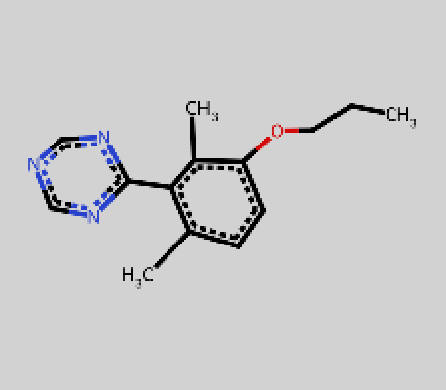 CCCOc1ccc(C)c(-c2ncncn2)c1C